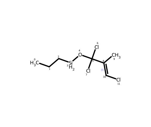 CCC[SiH2]OC(Cl)(Cl)/C(C)=C/Cl